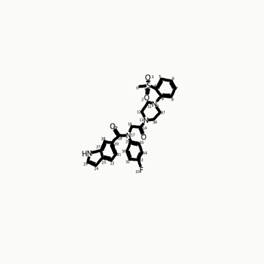 CS(=O)(=O)c1ccccc1N1CCN(C(=O)CN(C(=O)c2ccc3cc[nH]c3c2)c2ccc(F)cc2)CC1